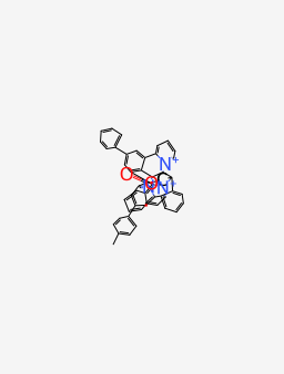 Cc1ccc(-c2cc3[n+]4c(c2)-c2ccccc2C2(COC3=O)C3C4c4c(cc(-c5ccccc5)cc4-c4c5ccccc5cc[n+]42)-c2cccc[n+]23)cc1